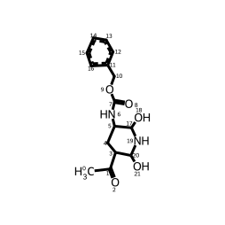 CC(=O)C1CC(NC(=O)OCc2ccccc2)C(O)NC1O